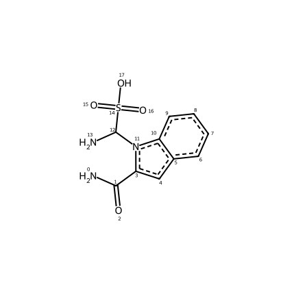 NC(=O)c1cc2ccccc2n1C(N)S(=O)(=O)O